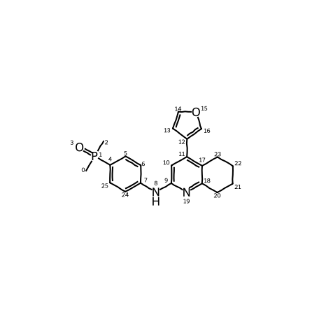 CP(C)(=O)c1ccc(Nc2cc(-c3ccoc3)c3c(n2)CCCC3)cc1